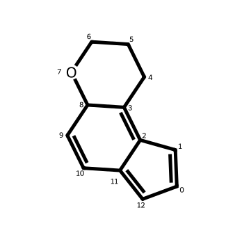 C1=CC2=C3CCCOC3C=CC2=C1